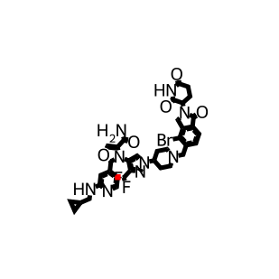 NC(=O)C1=COC(c2ccnc(NCC3CC3)c2)N1c1cn(C2CCN(Cc3ccc4c(c3Br)CN(C3CCC(=O)NC3=O)C4=O)CC2)nc1C(F)F